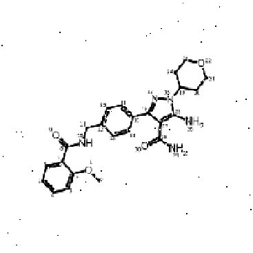 COc1ccccc1C(=O)NCc1ccc(-c2nn(C3CCOCC3)c(N)c2C(N)=O)cc1